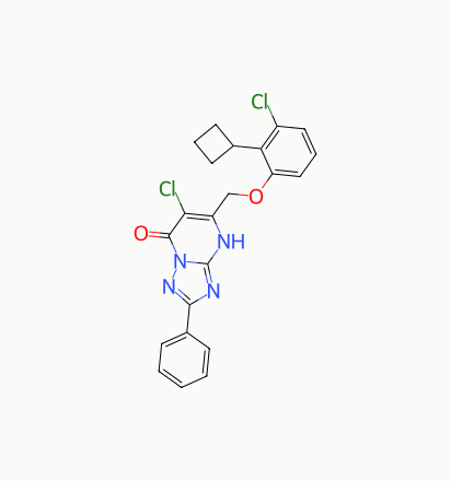 O=c1c(Cl)c(COc2cccc(Cl)c2C2CCC2)[nH]c2nc(-c3ccccc3)nn12